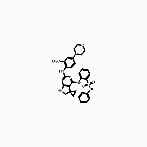 COc1cc(N2CCOCC2)ccc1Nc1nc2c(c(Nc3ccccc3S(=O)(=O)Nc3ccccc3)n1)C1(CC1)CN2